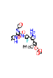 COc1cc(-c2cnc(N)c(-c3ccc(NC(=O)c4cn(CC5CCOCC5)cc(C5C=CC(C)=CN5)c4=O)cc3F)c2)ccc1OC[C@@H]1COCCO1